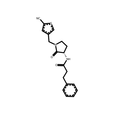 N#Cc1cc(CN2CC[C@H](NC(=O)CCc3ccccc3)C2=O)cs1